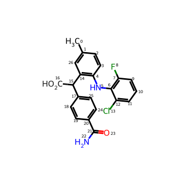 Cc1ccc(Nc2c(F)cccc2Cl)c(C(C(=O)O)c2ccc(C(N)=O)cc2)c1